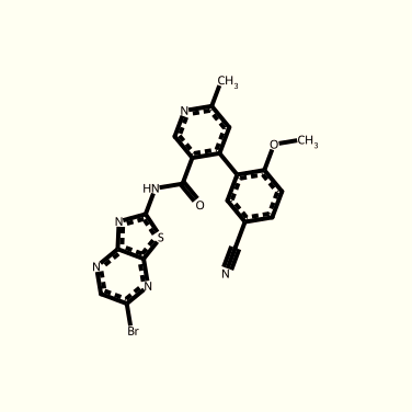 COc1ccc(C#N)cc1-c1cc(C)ncc1C(=O)Nc1nc2ncc(Br)nc2s1